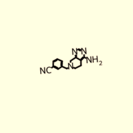 N#Cc1cccc(CN2CCc3c(N)ncnc3C2)c1